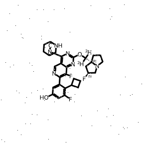 [2H]C([2H])(Oc1nc(N2CC3CCC2CN3)c2cnc(-c3cc(O)cc(F)c3C3CCC3)c(F)c2n1)[C@]12CCCN1C[C@@H](F)C2